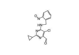 O=Cc1nc(C2CC2)nc(NCc2ccccc2N=O)c1Cl